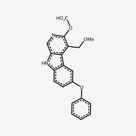 COCc1c(OC(=O)O)ncc2[nH]c3ccc(Oc4ccccc4)cc3c12